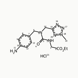 CCOC(=O)CNC(=O)N(Cc1ccc(N)cc1)Cc1nnn(C)n1.Cl